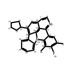 Cc1cc2c3nccc4cc(C5CCCC5)c5c6ccccc6n(c2c(C)c1F)c5c43